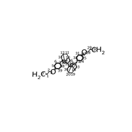 C=CCOc1ccc(C23CC4CC(C2)CC(C25CC6CC(CC(c7ccc(OCC=C)cc7)(C6)C2)C5)(C4)C3)cc1